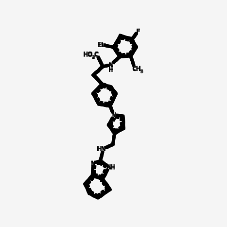 CCc1cc(F)cc(C)c1NC(Cc1ccc(-n2ccc(CNc3nc4ccccc4[nH]3)c2)cc1)C(=O)O